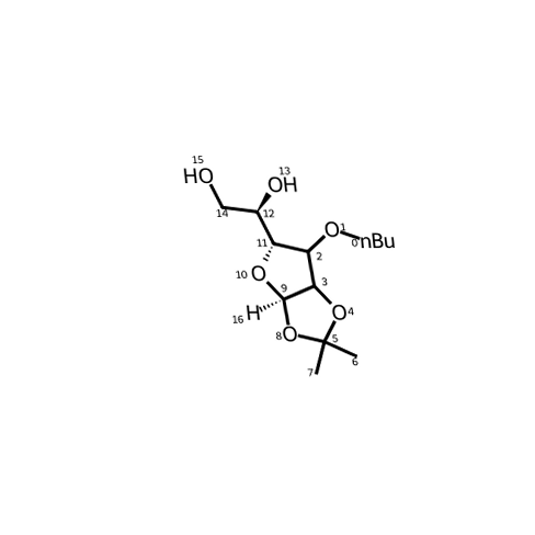 CCCCOC1C2OC(C)(C)O[C@H]2O[C@@H]1[C@H](O)CO